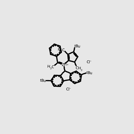 CC1=[C](/[Zr+2](=[C](/C)c2ccccc2)[CH]2c3cc(C(C)(C)C)ccc3-c3ccc(C(C)(C)C)cc32)C(C)C=C1C(C)(C)C.[Cl-].[Cl-]